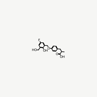 CC(Cc1ccc(OCc2cc(F)cc(CO)c2O)cc1)C(=O)O